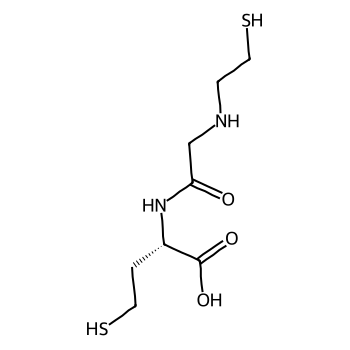 O=C(CNCCS)N[C@@H](CCS)C(=O)O